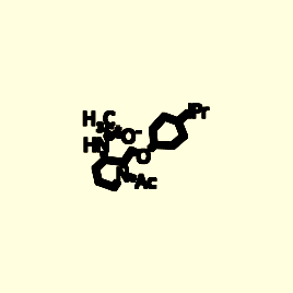 CC(=O)N1CCCC(N[S+](C)[O-])C1COC1CCC(C(C)C)CC1